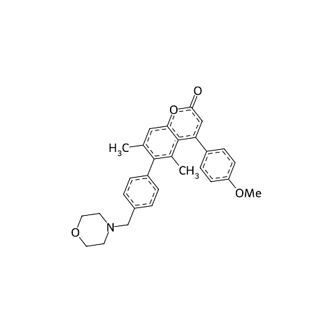 COc1ccc(-c2cc(=O)oc3cc(C)c(-c4ccc(CN5CCOCC5)cc4)c(C)c23)cc1